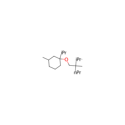 CCCC(C)(COC1(C(C)C)CCCC(C)C1)[C](C)C